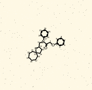 O=C(COc1ccccc1)N(CC1CCC2(CCCCCC2)S1)c1ccccc1